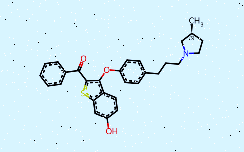 C[C@H]1CCN(CCCc2ccc(Oc3c(C(=O)c4ccccc4)sc4cc(O)ccc34)cc2)C1